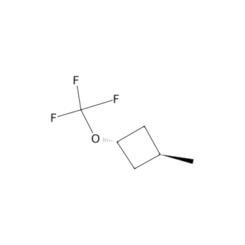 C[C@H]1C[C@H](OC(F)(F)F)C1